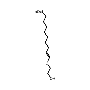 CCCCCCCCCCCCCCCC=COCCO